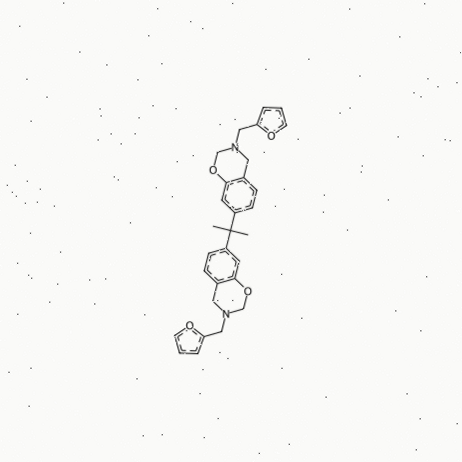 CC(C)(c1ccc2c(c1)OCN(Cc1ccco1)C2)c1ccc2c(c1)OCN(Cc1ccco1)C2